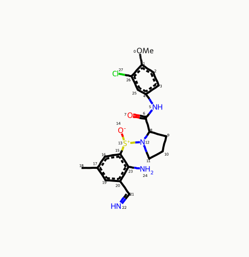 COc1ccc(NC(=O)C2CCCN2[S+]([O-])c2cc(C)cc(C=N)c2N)cc1Cl